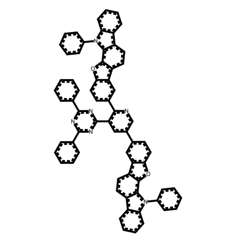 c1ccc(-c2nc(-c3ccccc3)nc(-c3cc(-c4ccc5oc6c(ccc7c8ccccc8n(-c8ccccc8)c76)c5c4)cnc3-c3ccc4oc5c(ccc6c7ccccc7n(-c7ccccc7)c65)c4c3)n2)cc1